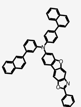 c1ccc(-c2nc3cc4oc5cc(N(c6ccc(-c7cccc8ccccc78)cc6)c6cccc(-c7ccc8ccccc8c7)c6)ccc5c4cc3o2)cc1